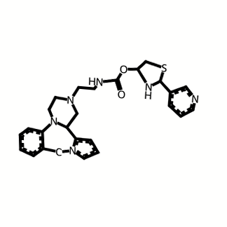 O=C(NCCN1CCN2c3ccccc3Cn3cccc3C2C1)OC1CSC(c2cccnc2)N1